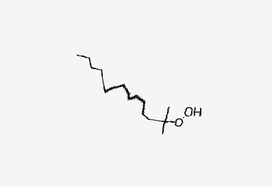 CCCCCCCCCC(C)(C)OO